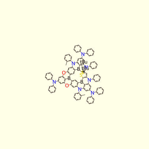 Cc1ccccc1N1c2cc3c(cc2B2c4sc(C(C)(C)C)cc4N(c4ccccc4)c4cc(N(c5ccccc5)c5ccccc5)cc1c42)B1c2cc4c(cc2Oc2cc(N(c5ccccc5)c5ccccc5)cc(c21)O3)N(c1ccccc1C)c1cc(N(c2ccccc2)c2ccccc2)cc2c1B4c1sc(C(C)(C)C)cc1N2c1ccccc1